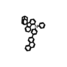 C1=CC2=C(CC1)c1c(N(c3ccccc3)c3ccc(-c4ccc5c(ccc6ccccc65)c4)cc3)cccc1C21C2CC3CC(C2)CC1C3